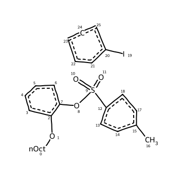 CCCCCCCCOc1ccccc1OS(=O)(=O)c1ccc(C)cc1.Ic1ccccc1